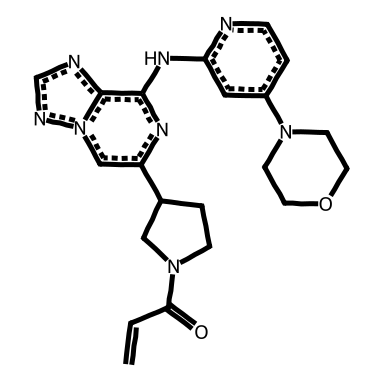 C=CC(=O)N1CCC(c2cn3ncnc3c(Nc3cc(N4CCOCC4)ccn3)n2)C1